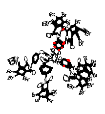 O=C1c2c(Br)c(Br)c(Br)c(Br)c2C(=O)N1c1ccc(ON2P(Oc3ccc(N4C(=O)c5c(Br)c(Br)c(Br)c(Br)c5C4=O)cc3)N=P(Oc3ccc(N4C(=O)c5c(Br)c(Br)c(Br)c(Br)c5C4=O)cc3)(Oc3ccc(N4C(=O)c5c(Br)c(Br)c(Br)c(Br)c5C4=O)cc3)N(Oc3ccc(N4C(=O)c5c(Br)c(Br)c(Br)c(Br)c5C4=O)cc3)P2Oc2ccc(N3C(=O)c4c(Br)c(Br)c(Br)c(Br)c4C3=O)cc2)cc1